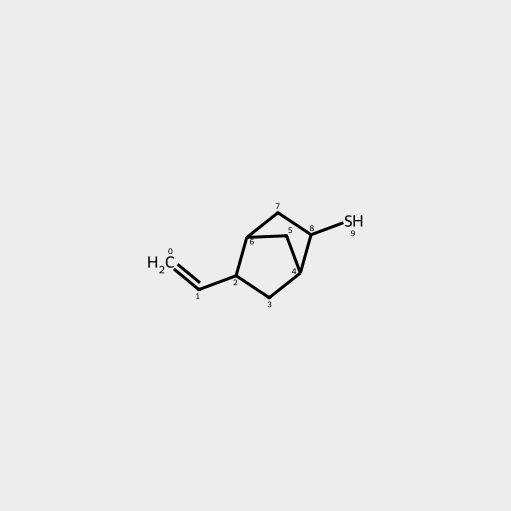 C=CC1CC2CC1CC2S